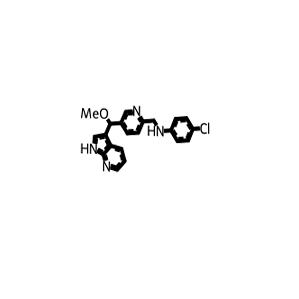 COC(c1ccc(CNc2ccc(Cl)cc2)nc1)c1c[nH]c2ncccc12